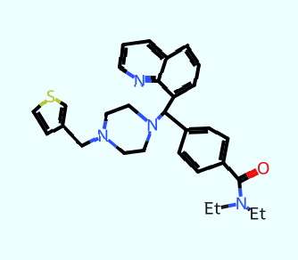 CCN(CC)C(=O)c1ccc(C(c2cccc3cccnc23)N2CCN(Cc3ccsc3)CC2)cc1